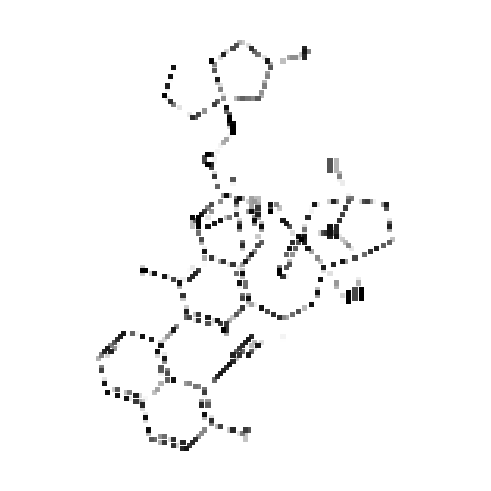 C#Cc1c(F)ccc2cccc(-c3nc4c5c(nc(OC[C@@]67CCCN6C[C@H](F)C7)nc5c3F)N3C[C@H]5CC[C@@H]([C@H]3C[C@@H]4C)N5C(=O)OC(C)(C)C)c12